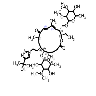 CC[C@H]1OC(=O)CC[C@H](C)[C@@H](O[C@@H]2O[C@H](C)C(O)C(N(C)C)C2O)[C@@H](CCn2cc(C(C)(C)O)nn2)C[C@@H](C)C(=O)/C=C/C(C)=C/[C@@H]1COC1OC(C)C(O)C(OC)C1OC